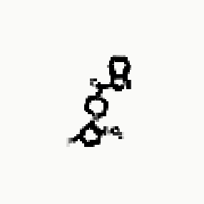 O=C(c1c[nH]c2ccccc12)N1CCN(c2cc(F)ccc2[N+](=O)[O-])CC1